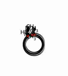 Cc1cnc(Nc2ccc3c(C)n(C)nc3c2)nc1NC1CCCCCCCCCCCCCCCCCCCCCCCCCCCCCCCCCCCCCCCCCCCCCCCCC2(CC1)CCN(C(=O)CC#N)CC2